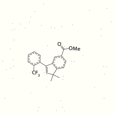 COC(=O)c1ccc2c(c1)C(c1ccccc1C(F)(F)F)=CC2(C)C